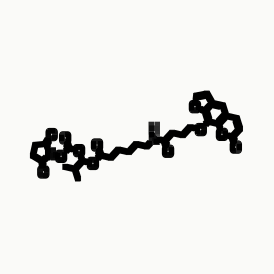 CC(C)C(OC(=O)CCCCCNC(=O)CCCOc1c2occc2cc2ccc(=O)oc12)OC(=O)ON1C(=O)CCC1=O